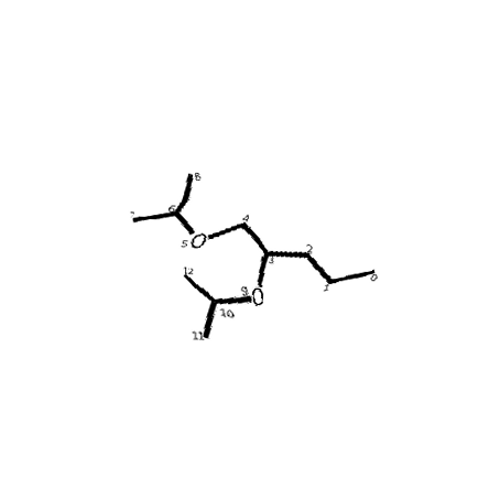 CCCC(COC(C)C)OC(C)C